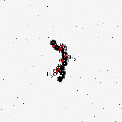 C=CC(=O)Nc1ncnc2c1c(-c1ccc(Oc3ccccc3)cc1)nn2[C@@H]1CCCN(C(=O)C(CN2CCCC(n3nc(-c4ccc(Oc5ccccc5)cc4)c4c(N)ncnc43)C2)C(=O)C=C)C1